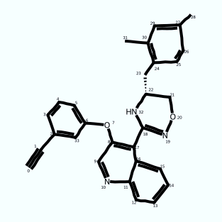 C#Cc1cccc(Oc2cnc3ccccc3c2C2=NOC[C@@H](Cc3ccc(C)cc3C)N2)c1